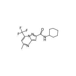 Cc1cc(C(F)(F)F)n2nc(C(=O)NC3CCCCC3)cc2n1